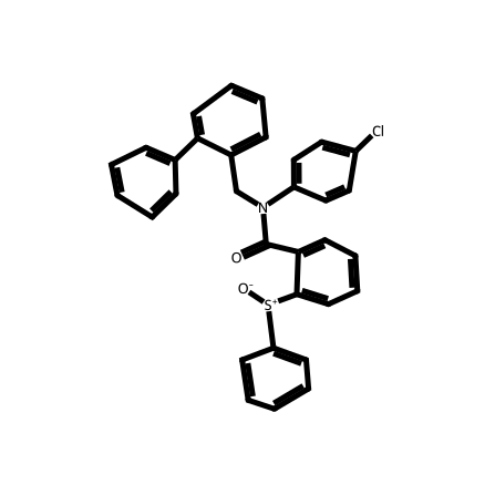 O=C(c1ccccc1[S+]([O-])c1ccccc1)N(Cc1ccccc1-c1ccccc1)c1ccc(Cl)cc1